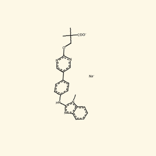 Cn1c(Nc2ccc(-c3cnc(OCC(C)(C)C(=O)[O-])nc3)cc2)nc2ccccc21.[Na+]